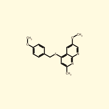 COc1ccc(CSc2cc(C)nc3ncc(OC)cc23)cc1